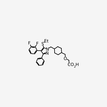 CCSc1c(-c2cccc(F)c2F)c(-c2ccccc2)nn1CC1CCC(COCC(=O)O)CC1